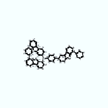 c1ccc(-c2cccc3c2oc2ccc(-c4ccc(N(c5ccc6c(c5)oc5ccccc56)c5cccc6c5sc5c(-c7ccccc7)cccc56)cc4)cc23)cc1